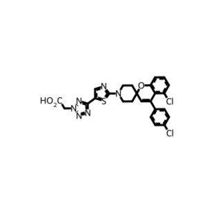 O=C(O)Cn1nnc(-c2cnc(N3CCC4(C=C(c5ccc(Cl)cc5)c5c(Cl)cccc5O4)CC3)s2)n1